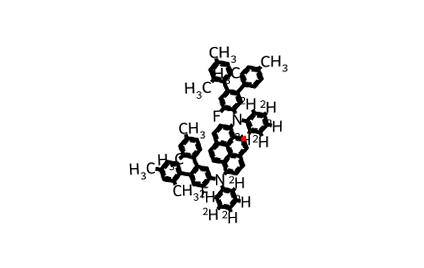 [2H]c1c([2H])c([2H])c(N(c2cc(-c3ccc(C)cc3C)c(-c3ccc(C)cc3C)cc2F)c2ccc3ccc4c(N(c5cc(-c6ccc(C)cc6C)c(-c6ccc(C)cc6C)cc5F)c5c([2H])c([2H])c([2H])c([2H])c5[2H])ccc5ccc2c3c54)c([2H])c1[2H]